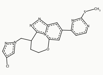 CSc1nccc(-c2cc3n4c(nnc4c2)C(Cn2cc(Cl)cn2)CCO3)n1